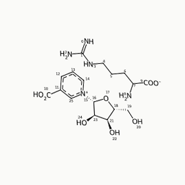 N=C(N)NCCCC(N)C(=O)[O-].O=C(O)c1ccc[n+]([C@@H]2O[C@H](CO)[C@@H](O)[C@H]2O)c1